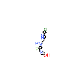 OC1CCN(Cc2ccc(NCCCc3ccc(-c4ccc(Cl)cc4)nn3)cc2F)CC1